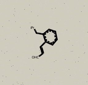 CC(C)Cc1ccccc1C=CC=O